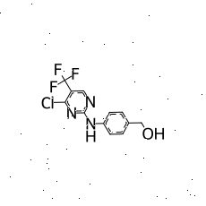 OCc1ccc(Nc2ncc(C(F)(F)F)c(Cl)n2)cc1